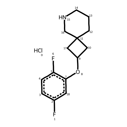 Cl.Fc1ccc(F)c(OC2CC3(CCCNC3)C2)c1